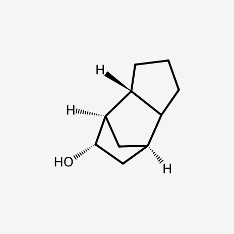 O[C@H]1C[C@H]2C[C@@H]1[C@@H]1CCCC21